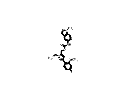 CCn1nc(-c2ccc(F)cc2OC)cc1COC(=O)Nc1ccc2c(cnn2C)c1